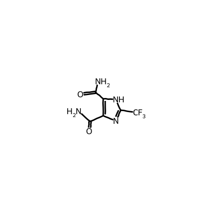 NC(=O)c1nc(C(F)(F)F)[nH]c1C(N)=O